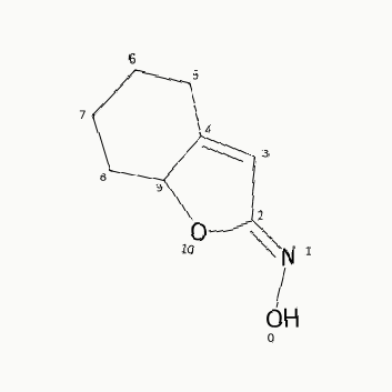 O/N=C1/C=C2CCCCC2O1